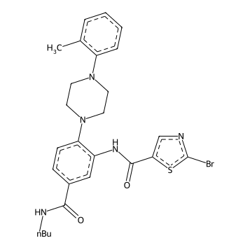 CCCCNC(=O)c1ccc(N2CCN(c3ccccc3C)CC2)c(NC(=O)c2cnc(Br)s2)c1